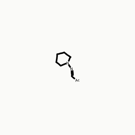 CC(=O)C=NN1CCCCC1